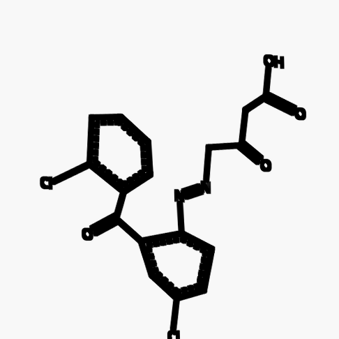 O=C(O)CC(=O)CN=Nc1ccc(Cl)cc1C(=O)c1ccccc1Cl